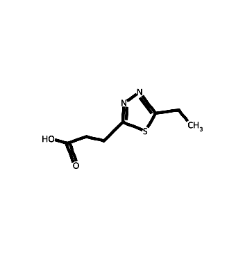 CCc1nnc(CCC(=O)O)s1